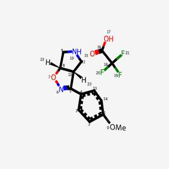 COc1ccc(C2=NO[C@@H]3CNC[C@H]23)cc1.O=C(O)C(F)(F)F